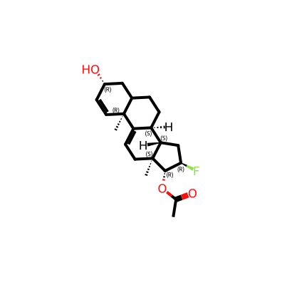 CC(=O)O[C@H]1[C@H](F)C[C@H]2[C@@H]3CCC4C[C@@H](O)C=C[C@]4(C)C3=CC[C@@]21C